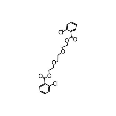 O=C(OCCOCCOCCOC(=O)c1ccccc1Cl)c1ccccc1Cl